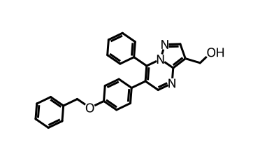 OCc1cnn2c(-c3ccccc3)c(-c3ccc(OCc4ccccc4)cc3)cnc12